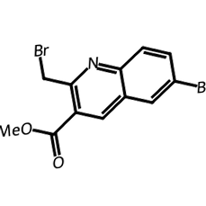 COC(=O)c1cc2cc(Br)ccc2nc1CBr